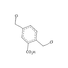 O=C(O)c1cc(CCl)ccc1CCl